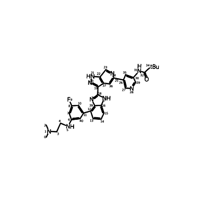 CN(C)CCNc1cc(F)cc(-c2cccc3[nH]c(-c4n[nH]c5cnc(-c6cncc(NC(=O)C(C)(C)C)c6)cc45)nc23)c1